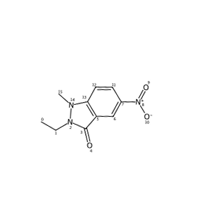 CCn1c(=O)c2cc([N+](=O)[O-])ccc2n1C